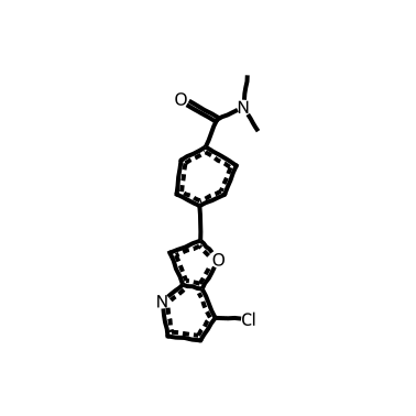 CN(C)C(=O)c1ccc(-c2cc3nccc(Cl)c3o2)cc1